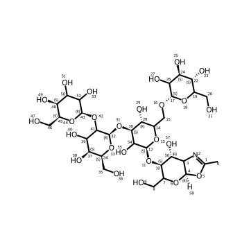 CC1=NC2[C@@H](O1)OC(CO)[C@@H](O[C@@H]1OC(CO[C@H]3OC(CO)[C@@H](O)[C@H](O)C3O)[C@@H](O)[C@H](O[C@H]3O[C@@H](CO)[C@@H](O)C(O)C3O[C@H]3O[C@@H](CO)[C@@H](O)C(O)C3O)C1O)[C@@H]2O